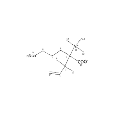 C=CC(C)(C)C(CCCCCCCCCCCC)(C(=O)[O-])[N+](C)(C)C